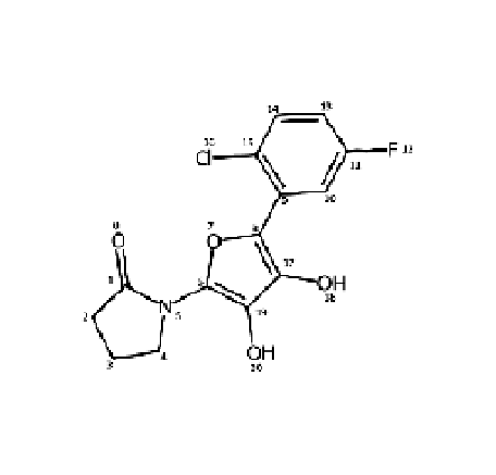 O=C1CCCN1c1oc(-c2cc(F)ccc2Cl)c(O)c1O